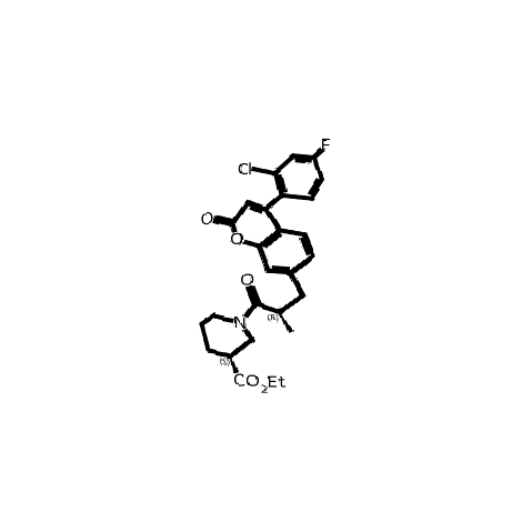 CCOC(=O)[C@H]1CCCN(C(=O)[C@H](C)Cc2ccc3c(-c4ccc(F)cc4Cl)cc(=O)oc3c2)C1